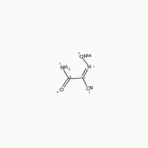 CO/N=C(/C#N)C(N)=O